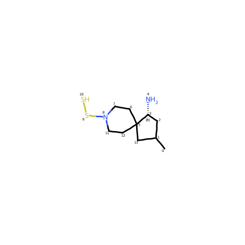 CC1C[C@@H](N)C2(CCN(SS)CC2)C1